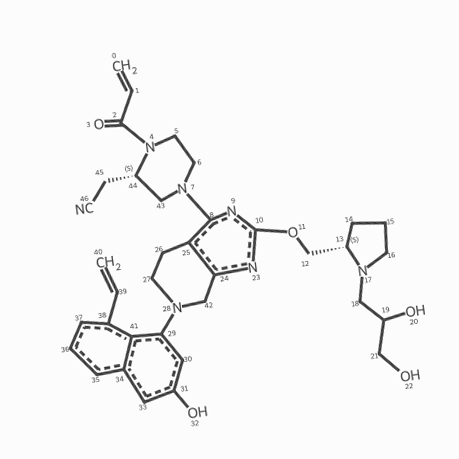 C=CC(=O)N1CCN(c2nc(OC[C@@H]3CCCN3CC(O)CO)nc3c2CCN(c2cc(O)cc4cccc(C=C)c24)C3)C[C@@H]1CC#N